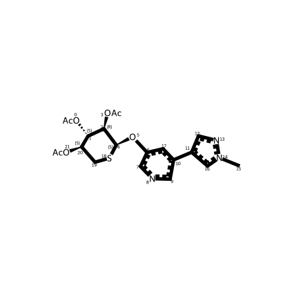 CC(=O)O[C@@H]1[C@@H](OC(C)=O)[C@@H](Oc2cncc(-c3cnn(C)c3)c2)SC[C@H]1OC(C)=O